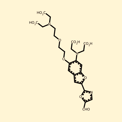 O=Cc1cnc(-c2cc3cc(OCCOCCN(CC(=O)O)CC(=O)O)c(N(CC(=O)O)CC(=O)O)cc3o2)o1